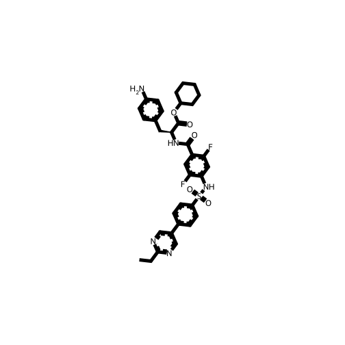 CCc1ncc(-c2ccc(S(=O)(=O)Nc3cc(F)c(C(=O)N[C@@H](Cc4ccc(N)cc4)C(=O)OC4CCCCC4)cc3F)cc2)cn1